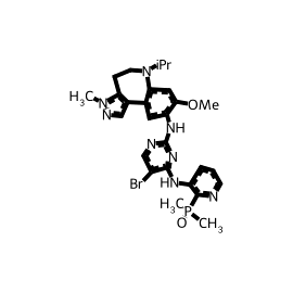 COc1cc2c(cc1Nc1ncc(Br)c(Nc3cccnc3P(C)(C)=O)n1)-c1cnn(C)c1CCN2C(C)C